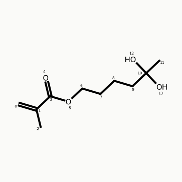 C=C(C)C(=O)OCCCCC(C)(O)O